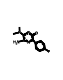 CN(C)c1nc(=O)c(-c2ccc(F)cc2)nn1N